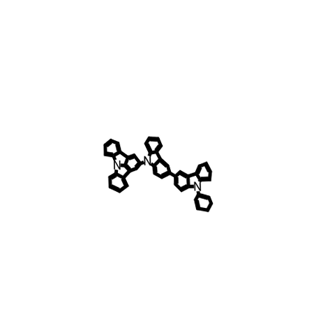 C1=CC(n2c3ccccc3c3cc(-c4ccc5c(c4)c4ccccc4n5-c4cc5c6ccccc6n6c7ccccc7c(c4)c56)ccc32)=CCC1